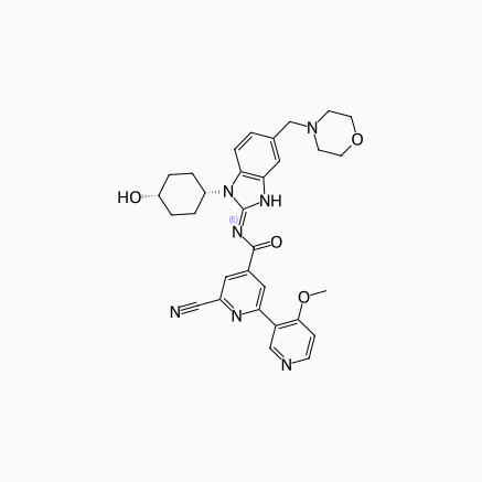 COc1ccncc1-c1cc(C(=O)/N=c2\[nH]c3cc(CN4CCOCC4)ccc3n2[C@H]2CC[C@@H](O)CC2)cc(C#N)n1